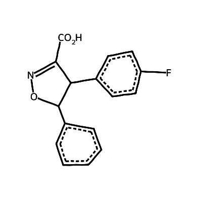 O=C(O)C1=NOC(c2ccccc2)C1c1ccc(F)cc1